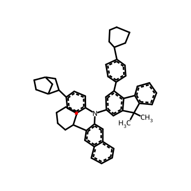 CC1(C)c2ccccc2-c2c(-c3ccc(C4CCCCC4)cc3)cc(N(c3ccc(C4CC5CCC4C5)cc3)c3cc4ccccc4cc3C3CCCCC3)cc21